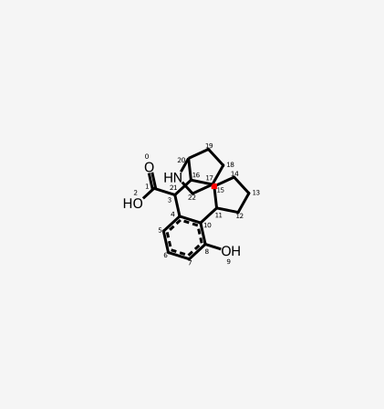 O=C(O)C(c1cccc(O)c1C1CCCC1)C1C2CCC1NC2